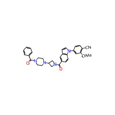 COc1cc(-n2ccc3cc(C(=O)N4CC(N5CCN(C(=O)c6ccccc6)CC5)C4)ccc32)ccc1C#N